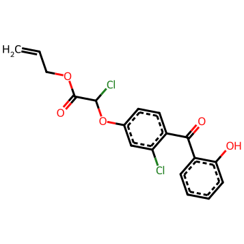 C=CCOC(=O)C(Cl)Oc1ccc(C(=O)c2ccccc2O)c(Cl)c1